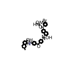 CONCON(c1cccc(Br)c1)c1ccc2c(N=Nc3ccc(C(=O)c4ccc(/N=N/c5c(O)ccc6c5=CC(C)CC=6)cc4)cc3)c(O)ccc2c1